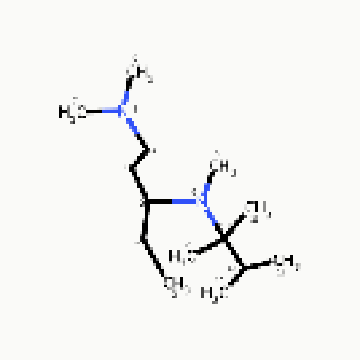 CCC(CCN(C)C)N(C)C(C)(C)C(C)C